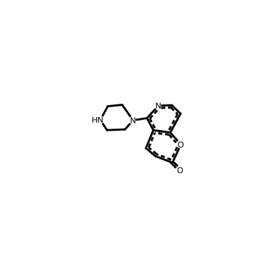 O=c1ccc2c(N3CCNCC3)nccc2o1